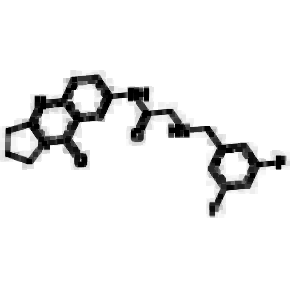 O=C(CNCc1cc(F)cc(F)c1)Nc1ccc2nc3n(c(=O)c2c1)CCC3